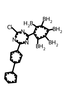 Bc1c(B)c(B)c(-c2nc(Cl)nc(-c3ccc(-c4ccccc4)cc3)n2)c(B)c1B